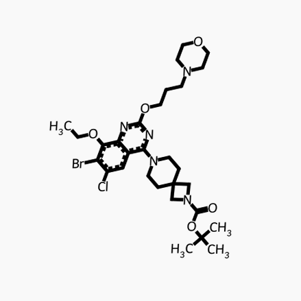 CCOc1c(Br)c(Cl)cc2c(N3CCC4(CC3)CN(C(=O)OC(C)(C)C)C4)nc(OCCCN3CCOCC3)nc12